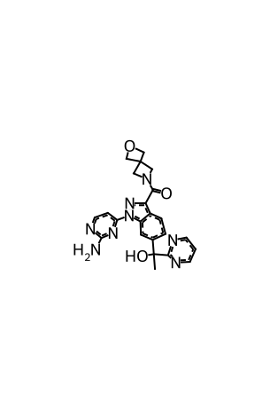 CC(O)(c1ccc2c(C(=O)N3CC4(COC4)C3)nn(-c3ccnc(N)n3)c2c1)c1ncccn1